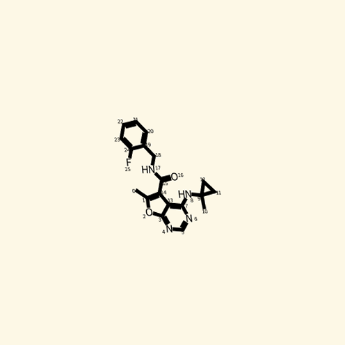 Cc1oc2ncnc(NC3(C)CC3)c2c1C(=O)NCc1ccccc1F